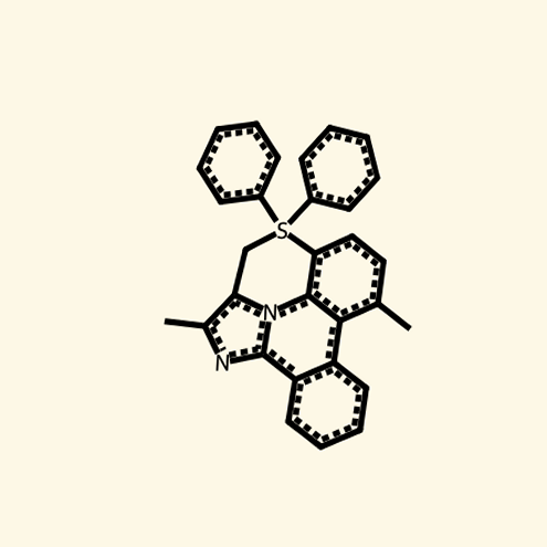 Cc1nc2c3ccccc3c3c(C)ccc4c3n2c1CS4(c1ccccc1)c1ccccc1